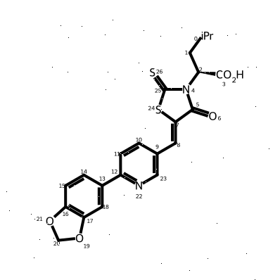 CC(C)C[C@@H](C(=O)O)N1C(=O)/C(=C/c2ccc(-c3ccc4c(c3)OCO4)nc2)SC1=S